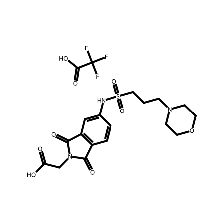 O=C(O)C(F)(F)F.O=C(O)CN1C(=O)c2ccc(NS(=O)(=O)CCCN3CCOCC3)cc2C1=O